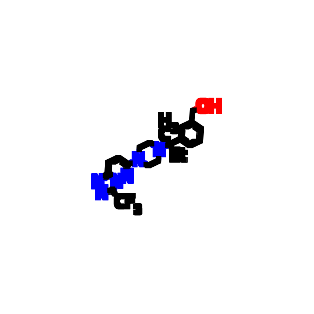 CCC(C)(c1cccc(CO)c1)N1CCN(c2ccc3nnc(C(F)(F)F)n3n2)CC1